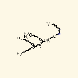 CCCCCC/C=C\C/C=C\CCCCCCCC(=O)OCC(COC(=O)CCC(OCCCCCCCC)OCCCCCCCC)COC(=O)OCCCN(CC)CC